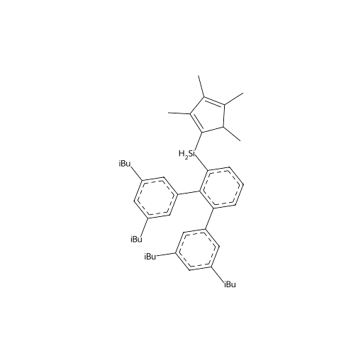 CCC(C)c1cc(-c2cccc([SiH2]C3=C(C)C(C)=C(C)C3C)c2-c2cc(C(C)CC)cc(C(C)CC)c2)cc(C(C)CC)c1